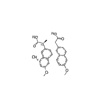 C.COc1ccc2cc(CC(=O)O)ccc2c1.COc1ccc2cc([C@H](C)C(=O)O)ccc2c1